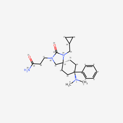 CN(C)[C@]1(c2ccccc2)CC[C@]2(CC1)CN(CCC(N)=O)C(=O)N2CC1CC1